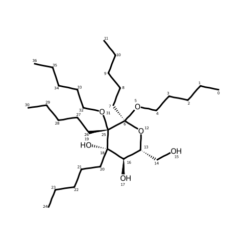 CCCCCO[C@@]1(CCCCC)O[C@H](CO)[C@@H](O)[C@@](O)(CCCCC)[C@]1(CCCCC)OCCCCC